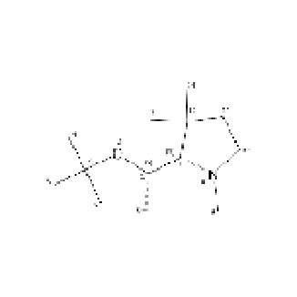 C[C@H](OC(C)(C)C)[C@H]1N(C)CCC1(C)C